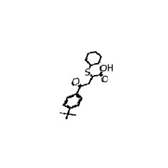 CC(C)(C)c1ccc(C(=O)CC(SC2CCCCC2)C(=O)O)cc1